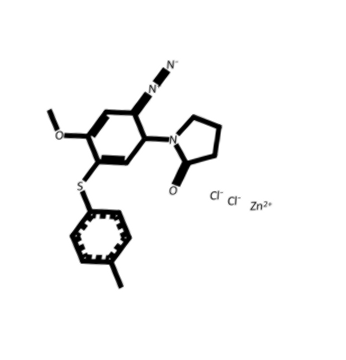 COC1=CC(=[N+]=[N-])C(N2CCCC2=O)C=C1Sc1ccc(C)cc1.[Cl-].[Cl-].[Zn+2]